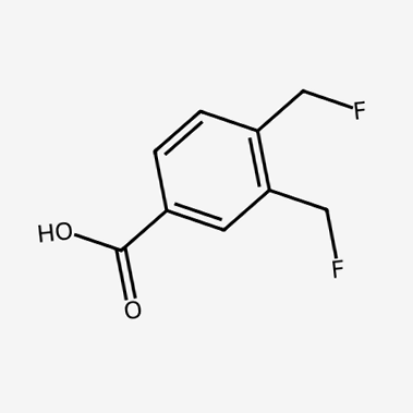 O=C(O)c1ccc(CF)c(CF)c1